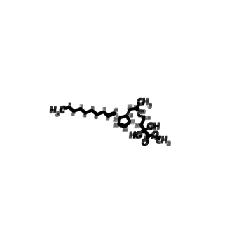 CCCCCCCCC=C[C@H]1C=CC[C@@H]1CC(C)=C=CCC(O)(O)C(=O)OC